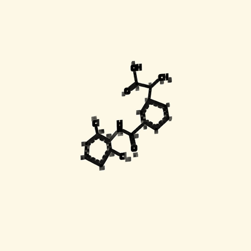 CC(C(=O)O)c1cccc(C(=O)Nc2c(Cl)cccc2Cl)c1